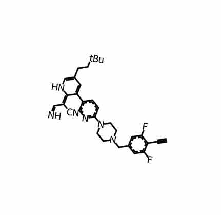 C#Cc1c(F)cc(CN2CCN(c3ccc(C4=CC(CCC(C)(C)C)=CN/C4=C(/C#N)C=N)cn3)CC2)cc1F